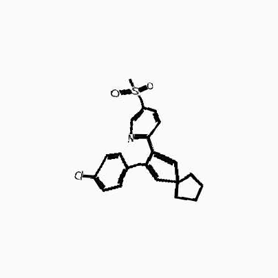 CS(=O)(=O)c1ccc(C2=CC3(C=C2c2ccc(Cl)cc2)CCCC3)nc1